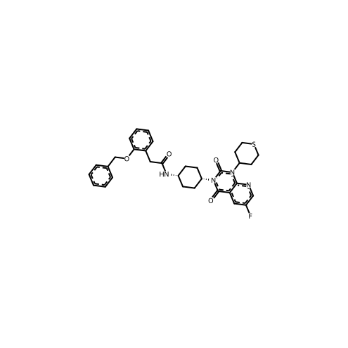 O=C(Cc1ccccc1OCc1ccccc1)N[C@H]1CC[C@@H](n2c(=O)c3cc(F)cnc3n(C3CCSCC3)c2=O)CC1